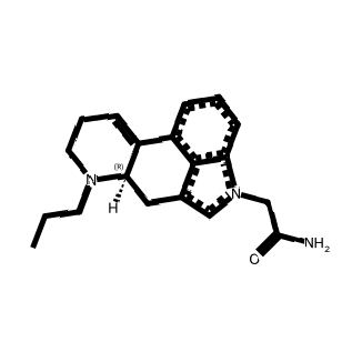 CCCN1CCC=C2c3cccc4c3c(cn4CC(N)=O)C[C@H]21